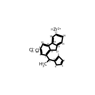 CC(C1=CC=CC1)c1cccc2c1Cc1ccccc1-2.[Cl-].[Cl-].[Zr+2]